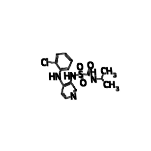 CC(C)NC(=O)S(=O)(=O)Nc1cnccc1Nc1ccccc1Cl